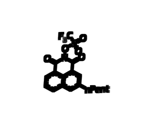 CCCCCc1cc2c3c(cccc3c1)C(=O)N(OS(=O)(=O)C(F)(F)F)C2=O